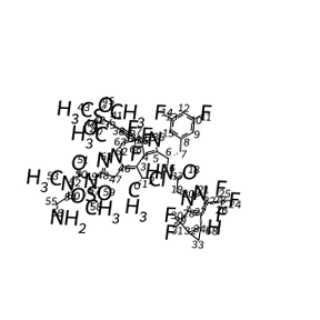 C[C@@H](Cl)/C(C1=C([C@H](Cc2cc(F)cc(F)c2)NC(=O)Cn2nc(C(F)(F)F)c3c2C(F)(F)C2C[C@H]32)N=C1C#CC(C)(C)S(C)(=O)=O)=C1\CC(N(C(=O)N(C)CCN)S(C)(=O)=O)=NN1CC(F)(F)F